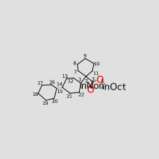 CCCCCCCCC[C@]1(C2(C(=O)OCCCCCCCC)CCCCC2)CC[C@@H](C2CCCCC2)CC1